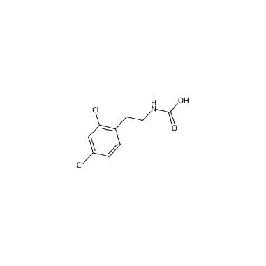 O=C(O)NCCc1ccc(Cl)cc1Cl